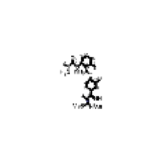 CN/C(SC)=C(/C)C(=N)c1ccc(OCc2c(C)cccc2N(N)C(=O)N(C)N)c(C)c1